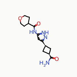 NC(=O)[C@H]1C[C@@H](c2cc(NC(=O)C3CCOCC3)[nH]n2)C1